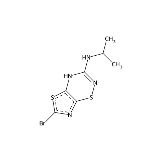 CC(C)NC1=NSc2nc(Br)sc2N1